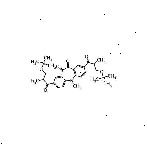 CC(CO[Si](C)(C)C)C(=O)c1ccc2c(c1)c(=O)c(=O)c1cc(C(=O)C(C)CO[Si](C)(C)C)ccc1n2C